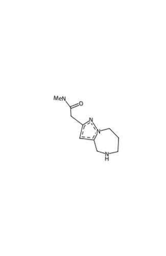 CNC(=O)Cc1cc2n(n1)CCCNC2